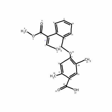 C/C=C(/C(=O)OC)c1ccccc1COc1cc(C)c(C(=O)O)cc1C